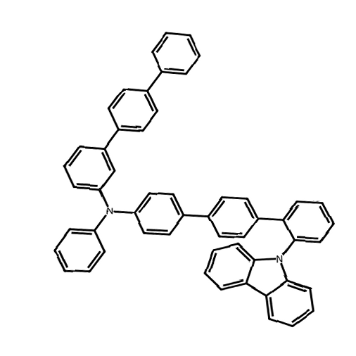 c1ccc(-c2ccc(-c3cccc(N(c4ccccc4)c4ccc(-c5ccc(-c6ccccc6-n6c7ccccc7c7ccccc76)cc5)cc4)c3)cc2)cc1